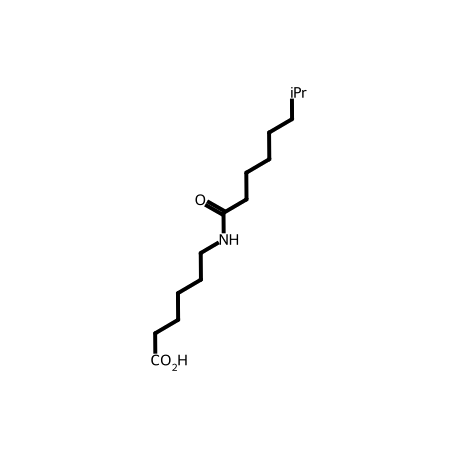 CC(C)CCCCCC(=O)NCCCCCC(=O)O